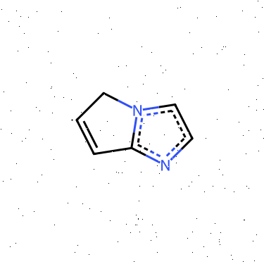 [C]1=Cc2nccn2C1